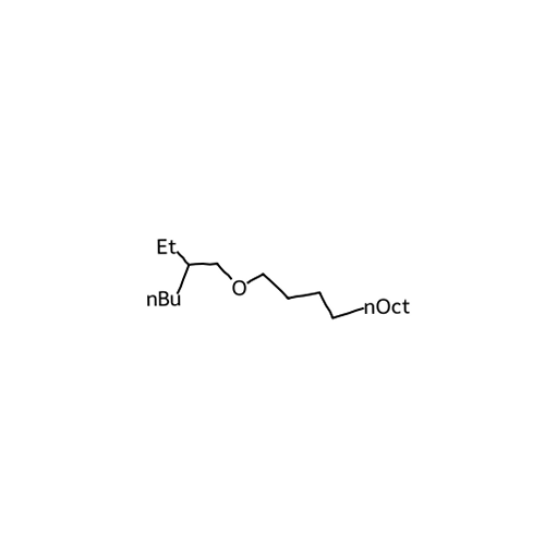 CCCCCCCCCCCCOCC(CC)CCCC